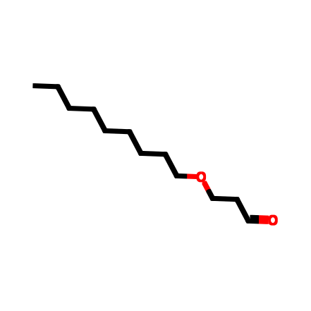 CCCCCCCCCOCCC=O